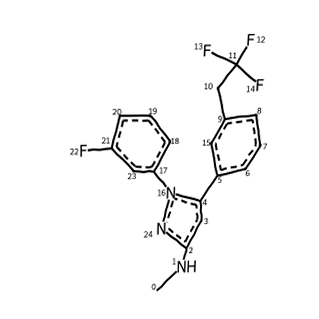 CNc1cc(-c2cccc(CC(F)(F)F)c2)n(-c2cccc(F)c2)n1